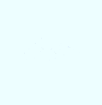 CC(C)CC(N)CC(=O)N1CCCC(N(C2CC2)S(=O)(=O)c2cccc(C(F)(F)F)c2)C1